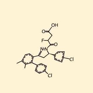 Cc1ccc(C2=NN(C(=O)C(F)CC(=O)O)[C@@H](c3ccc(Cl)cc3)C2)c(-c2ccc(Cl)cc2)c1C